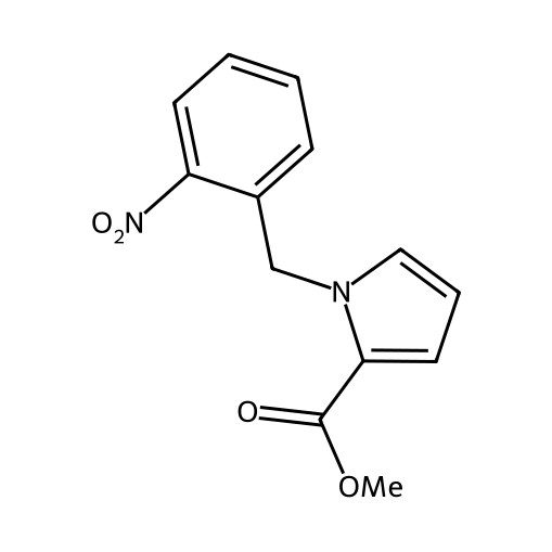 COC(=O)c1cccn1Cc1ccccc1[N+](=O)[O-]